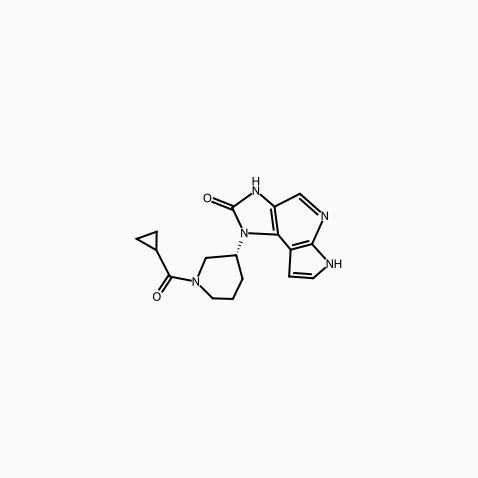 O=C(C1CC1)N1CCC[C@@H](n2c(=O)[nH]c3cnc4[nH]ccc4c32)C1